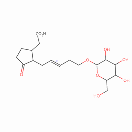 O=C(O)CC1CCC(=O)C1C/C=C/CCOC1OC(CO)C(O)C(O)C1O